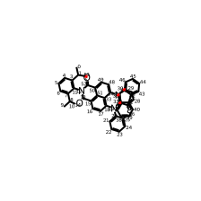 CC(C)c1cccc(C(C)C)c1N1C(=O)c2ccc(N3c4ccccc4Sc4ccccc43)c3c(-n4c5ccccc5c5ccccc54)ccc(c23)C1=O